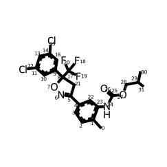 Cc1ccc(C2=NOC(c3cc(Cl)cc(Cl)c3)(C(F)(F)F)C2)cc1NC(=O)OCC(C)C